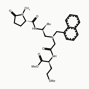 CC[C@H](C)[C@@H](CN(CC(=O)N[C@@H](CCSC)C(=O)OC)Cc1cccc2ccccc12)NC(=O)[C@@H]1CCC(=O)N1C